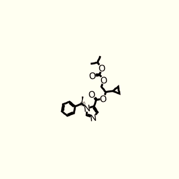 CC(C)OC(=O)OCC(OC(=O)c1cncn1[C@H](C)c1ccccc1)C1CC1